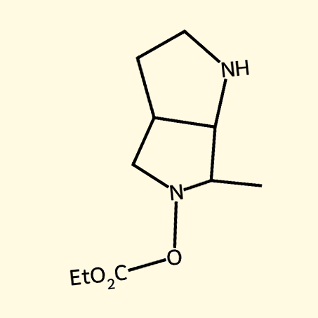 CCOC(=O)ON1CC2CCNC2C1C